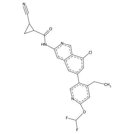 CCc1cc(OC(F)F)ncc1-c1cc(Cl)c2cnc(NC(=O)C3CC3C#N)cc2c1